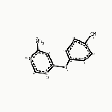 N#Cc1ccc(Oc2cc(N)ncn2)cc1